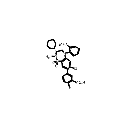 COc1ccccc1N1C[C@@H](C2CCCCC2)N(C)S(=O)(=O)c2cc(-c3ccc(F)c(C(=O)O)c3)c(Cl)cc21